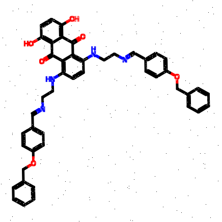 O=C1c2c(O)ccc(O)c2C(=O)c2c(NCCN=Cc3ccc(OCc4ccccc4)cc3)ccc(NCCN=Cc3ccc(OCc4ccccc4)cc3)c21